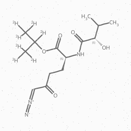 [2H]C([2H])([2H])C([2H])(OC(=O)[C@H](CCC(=O)C=[N+]=[N-])NC(=O)[C@@H](O)C(C)C)C([2H])([2H])[2H]